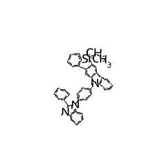 C[Si]1(C)c2ccccc2-c2cc3c(cc21)c1ccccc1n3-c1ccc(-n2c(-c3ccccc3)nc3ccccc32)cc1